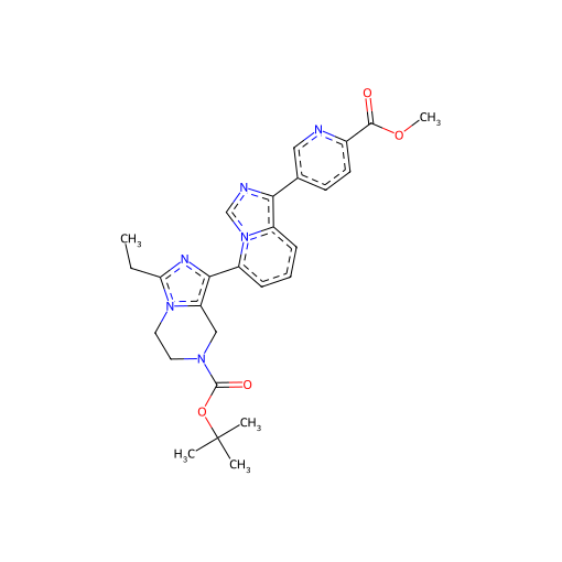 CCc1nc(-c2cccc3c(-c4ccc(C(=O)OC)nc4)ncn23)c2n1CCN(C(=O)OC(C)(C)C)C2